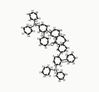 O=c1c2cc(-c3ccc(N(c4ccccc4)c4ccccc4)cc3-c3ccccc3)ccc2ccc2ccc(-c3ccc(N(c4ccccc4)c4ccccc4)cc3-c3ccccc3)cc12